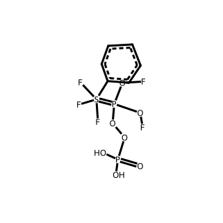 O=P(O)(O)OOP(OF)(OF)=S(F)(F)(F)c1ccccc1